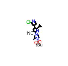 CC1CN(c2nc(C3CC3)c(-c3ccnc(Cl)c3)cc2C#N)CCN1C(=O)OC(C)(C)C